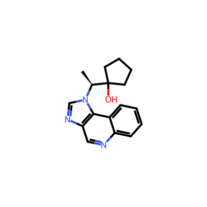 C[C@H](n1cnc2cnc3ccccc3c21)C1(O)CCCC1